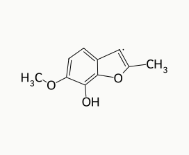 COc1ccc2[c]c(C)oc2c1O